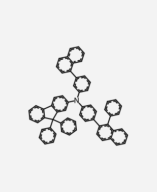 c1ccc(-c2c(-c3ccc(N(c4cccc(-c5cccc6ccccc56)c4)c4ccc5c(c4)C(c4ccccc4)(c4ccccc4)c4ccccc4-5)cc3)ccc3ccccc23)cc1